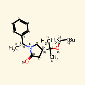 C[C@H](c1ccccc1)N1C[C@H](C(C)(C)O[SiH2]C(C)(C)C)CC1=O